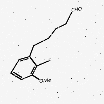 COc1cccc(CCCCC=O)c1F